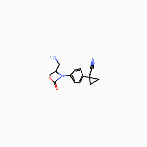 N#CC1(c2ccc(N3C(=O)OCC3CN)cc2)CC1